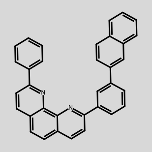 c1ccc(-c2ccc3ccc4ccc(-c5cccc(-c6ccc7ccccc7c6)c5)nc4c3n2)cc1